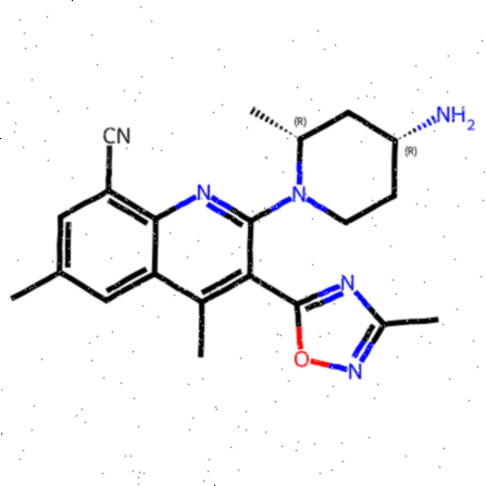 Cc1cc(C#N)c2nc(N3CC[C@@H](N)C[C@H]3C)c(-c3nc(C)no3)c(C)c2c1